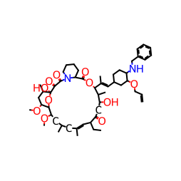 C=CCOC1CC(C=C(C)C2OC(=O)C3CCCCN3C(=O)C(=O)C3(O)OC(C(OC)CC(C)C/C(C)=C/C(CC)C(=O)CC(O)C2C)C(OC)CC3C)CCC1NCc1ccccc1